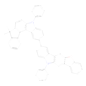 CC1(C)c2ccccc2-c2c1ccc1c2c2cc(-c3ccc4c(c3)c3cc5oc6ccccc6c5cc3n4-c3ccccc3)ccc2n1-c1ccccc1